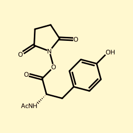 CC(=O)N[C@@H](Cc1ccc(O)cc1)C(=O)ON1C(=O)CCC1=O